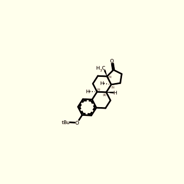 CC(C)(C)Oc1ccc2c(c1)CC[C@@H]1[C@@H]2CC[C@]2(C)C(=O)CC[C@@H]12